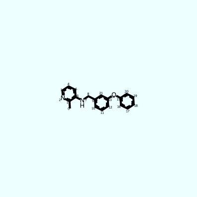 Cc1ncccc1NCc1cccc(Oc2ccccc2)c1